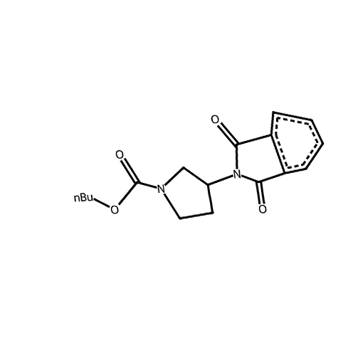 CCCCOC(=O)N1CCC(N2C(=O)c3ccccc3C2=O)C1